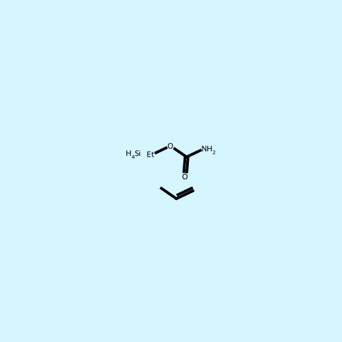 C=CC.CCOC(N)=O.[SiH4]